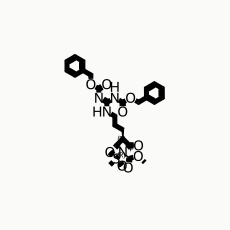 COC(=O)[N@@+]1(S(C)(=O)=O)C[C@@H](CCCNC(=NC(=O)OCc2ccccc2)NC(=O)OCc2ccccc2)C1=O